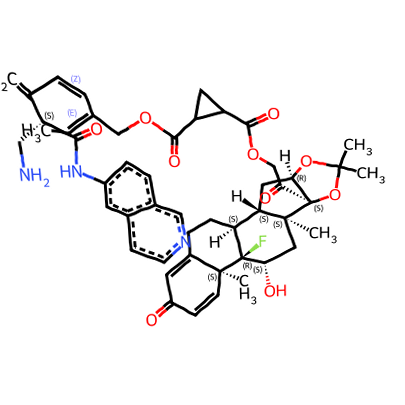 C=C(/C=C\C(=C/C)COC(=O)C1CC1C(=O)OCC(=O)[C@@]12OC(C)(C)O[C@@H]1C[C@H]1[C@@H]3CCC4=CC(=O)C=C[C@]4(C)[C@@]3(F)[C@@H](O)C[C@@]12C)[C@@H](CN)C(=O)Nc1ccc2cnccc2c1